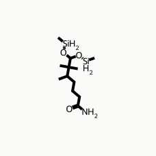 C[SiH2]OC(O[SiH2]C)C(C)(C)C(C)CCCC(N)=O